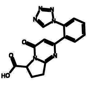 O=C(O)C1CCc2nc(-c3ccccc3-n3cnnn3)cc(=O)n21